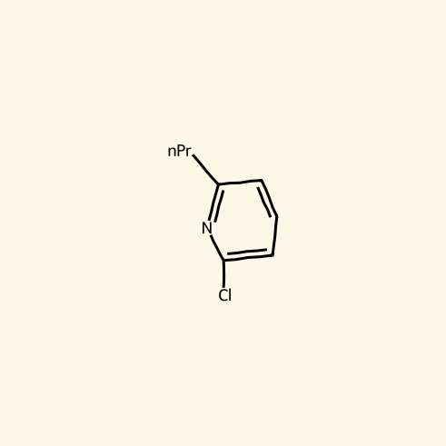 CCCc1cccc(Cl)n1